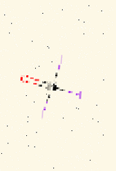 [O]=[Bi]([I])([I])[I]